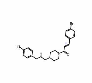 O=C(/C=C/c1ccc(Br)cc1)N1CCC(CNCc2ccc(Cl)cc2)CC1